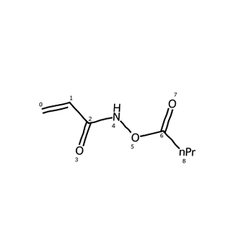 C=CC(=O)NOC(=O)CCC